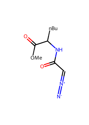 CCCCC(NC(=O)C=[N+]=[N-])C(=O)OC